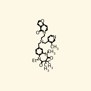 CCN1C(=O)C(C)(C)C(=O)N(C)c2cc(CN(CCn3ccc4occc4c3=O)Cc3ccncc3C)ccc21